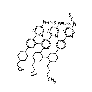 CCCCC1CCC(c2ccc(-c3ncc(N=C=S)cn3)cc2)CC1C1CC(CCC)CCC1c1ccc(-c2ncc(N=C=S)cn2)cc1-c1cc(C2CCC(CC)CC2)ccc1-c1ncc(N=C=S)cn1